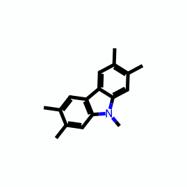 Cc1cc2c3cc(C)c(C)cc3n(C)c2cc1C